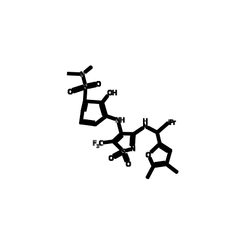 Cc1cc(C(NC2=NS(=O)(=O)C(C(F)(F)F)=C2Nc2cccc(S(=O)(=O)N(C)C)c2O)C(C)C)oc1C